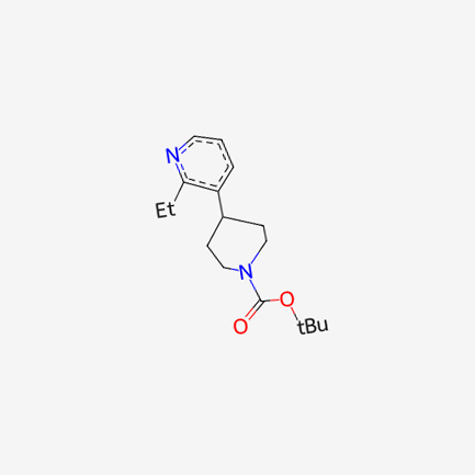 CCc1ncccc1C1CCN(C(=O)OC(C)(C)C)CC1